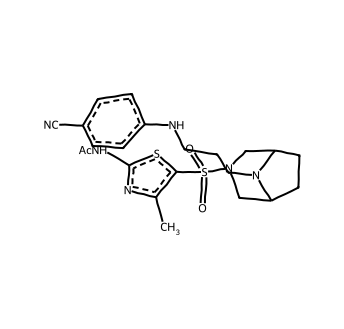 CC(=O)Nc1nc(C)c(S(=O)(=O)N2CC3CCC(C2)N3CCCNc2ccc(C#N)cc2)s1